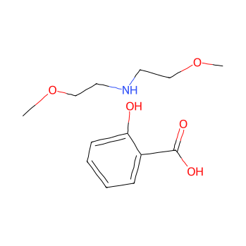 COCCNCCOC.O=C(O)c1ccccc1O